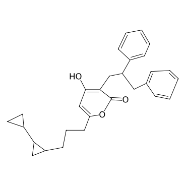 O=c1oc(CCCC2CC2C2CC2)cc(O)c1CC(Cc1ccccc1)c1ccccc1